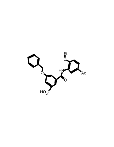 CCOc1ccc(C(C)=O)cc1NC(=O)c1cc(OCc2ccccc2)cc(C(=O)O)c1